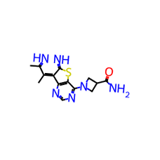 CC(=N)/C(C)=C1\C(=N)Sc2c1ncnc2N1CC(C(N)=O)C1